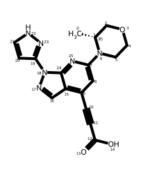 C[C@@H]1COCCN1c1cc(C#CC(=O)O)c2cnn(-c3cc[nH]n3)c2n1